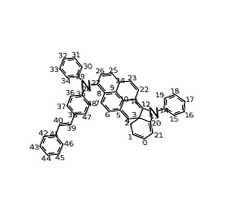 C1=CCC23C=c4ccc5c6c4C(=C2N(c2ccccc2)C3=C1)C=CC6C=CC=5N(c1ccccc1)c1ccc(C=Cc2ccccc2)cc1